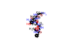 CC(C)C[C@H](NC(=O)[C@H](C)NC(=O)CNC(=O)[C@H](Cc1ccccc1)NC(=O)CC(C)O)C(=O)N[C@@H](Cc1ccc(O)cc1)C(=O)N(N[C@@H](C)C(=O)N[C@@H](CCC(N)=O)C(=O)O)[C@@H](CC(N)=O)C(=O)O